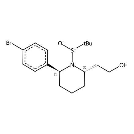 CC(C)(C)[S+]([O-])N1[C@H](CCO)CCC[C@H]1c1ccc(Br)cc1